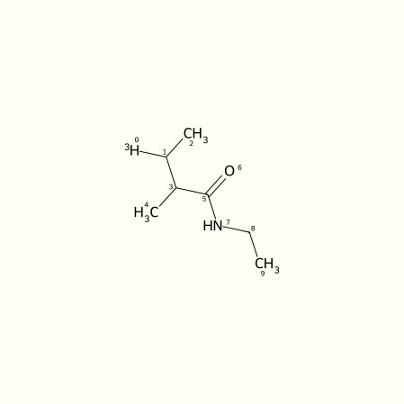 [3H]C(C)C(C)C(=O)NCC